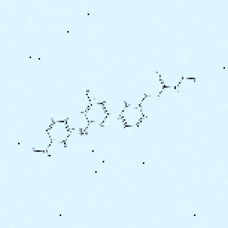 CCOC(=O)CCc1cccc(-c2cc(C)cc(Nc3nccc(OC)n3)c2)n1